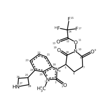 Cn1c(=O)n(C2CCC(=O)N(OC(=O)C(F)(F)F)C2=O)c2cccc(C3CNC3)c21